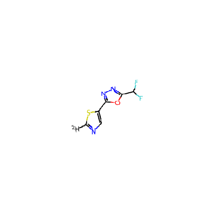 [2H]c1ncc(-c2nnc(C(F)F)o2)s1